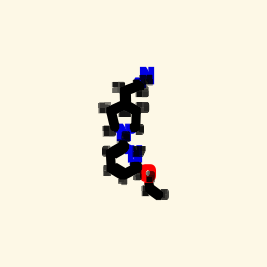 CCOc1cccc(N2CCC(=CC#N)CC2)n1